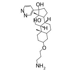 C[C@]12CCC(OCCCN)CC1CC[C@@H]1[C@H]2CC[C@]2(C)C(O)(c3ccnnc3)CC[C@@]12O